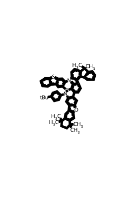 CC(C)(C)c1ccc(N2B3c4cc5c(cc4-n4c6ccc7c(c6c6ccc(c3c64)-c3cc4oc6cc8c(cc6c4cc32)C(C)(C)CCC8(C)C)-c2ccccc2C7(C)C)sc2ccccc25)cc1